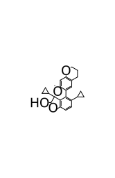 COC(C(=O)O)(c1c(C)ccc(C2CC2)c1-c1ccc2c(c1)CCCO2)C1CC1